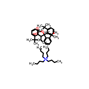 CCC(c1ccccc1C(C)(C)C)C(OB([O-])O)(c1ccccc1C(C)(C)C)c1ccccc1C(C)(C)C.CCCC[N+](CCCC)(CCCC)CCCC